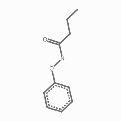 CCCC(=O)[N]Oc1ccccc1